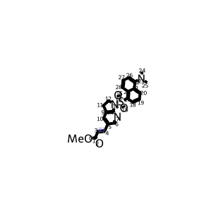 COC(=O)/C=C/c1cnc2c(c1)CCN2S(=O)(=O)c1cccc2c(N(C)C)cccc12